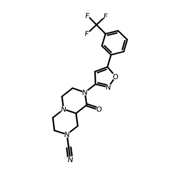 N#CN1CCN2CCN(c3cc(-c4cccc(C(F)(F)F)c4)on3)C(=O)C2C1